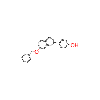 Oc1ccc(-c2ccc3ccc(OCc4ccccc4)cc3c2)cc1